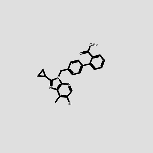 COC(=O)c1ccccc1-c1ccc(Cn2c(C3CC3)nc3c(C)c(Br)cnc32)cc1